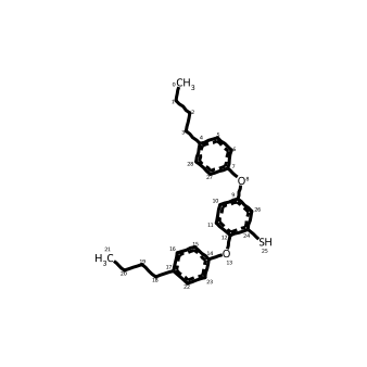 CCCCc1ccc(Oc2ccc(Oc3ccc(CCCC)cc3)c(S)c2)cc1